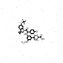 COc1cc(NC(C(=O)N2CC3(CC3)c3ccc(OC(F)(F)F)cc32)c2ccc(Cl)cc2)cc(C(C)=NOC(C)C(=O)O)c1